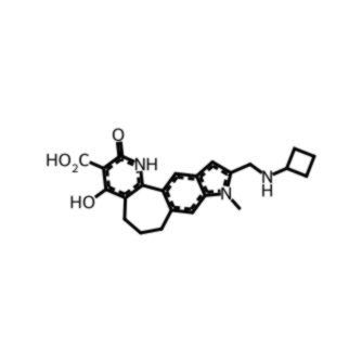 Cn1c(CNC2CCC2)cc2cc3c(cc21)CCCc1c-3[nH]c(=O)c(C(=O)O)c1O